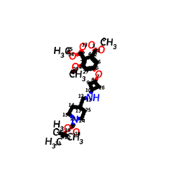 COC(=O)c1cc(OC2CC(NCC3CCN(C(=O)OC(C)(C)C)CC3)C2)cc(OC)c1C(=O)OC